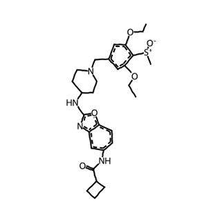 CCOc1cc(CN2CCC(Nc3nc4cc(NC(=O)C5CCC5)ccc4o3)CC2)cc(OCC)c1[S+](C)[O-]